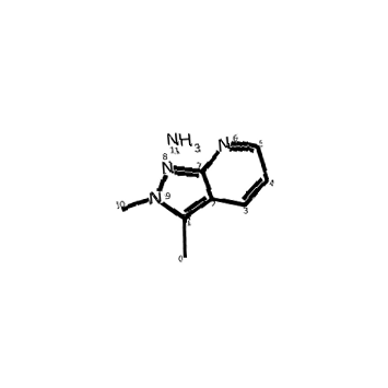 Cc1c2cccnc2nn1C.N